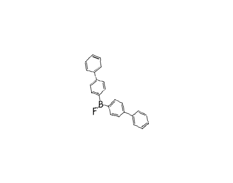 FB(c1ccc(-c2ccccc2)cc1)c1ccc(-c2ccccc2)cc1